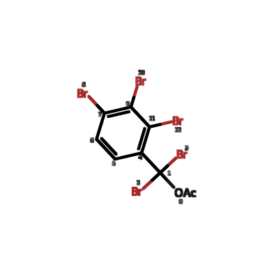 CC(=O)OC(Br)(Br)c1ccc(Br)c(Br)c1Br